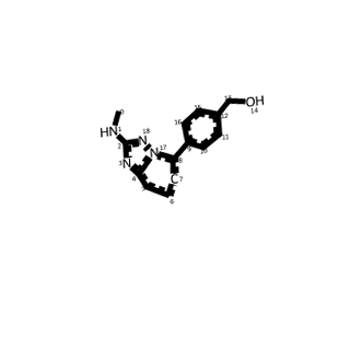 CNc1nc2cccc(-c3ccc(CO)cc3)n2n1